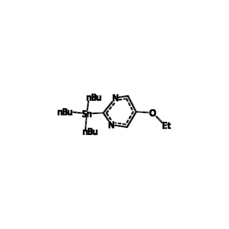 CCC[CH2][Sn]([CH2]CCC)([CH2]CCC)[c]1ncc(OCC)cn1